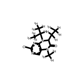 [2H]C([2H])([2H])N1C(=O)C(C([2H])([2H])C([2H])([2H])[2H])N(C([2H])(C([2H])([2H])[2H])C([2H])([2H])[2H])c2nc(Cl)ncc21